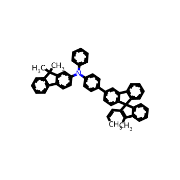 C/C=C\C1=C(C)c2ccccc2C12c1ccccc1-c1cc(-c3ccc(N(c4ccccc4)c4ccc5c(c4)C(C)(C)c4ccccc4-5)cc3)ccc12